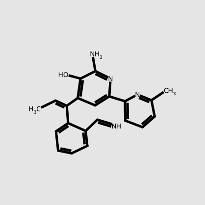 C/C=C(\c1ccccc1C=N)c1cc(-c2cccc(C)n2)nc(N)c1O